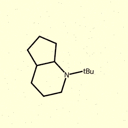 CC(C)(C)N1CCCC2CCCC21